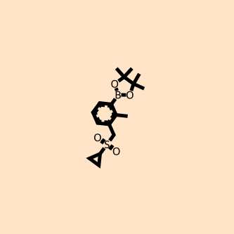 Cc1c(CS(=O)(=O)C2CC2)cccc1B1OC(C)(C)C(C)(C)O1